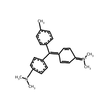 Cc1ccc(C(=C2C=CC(=[N+](C)C)C=C2)c2ccc(N(C)C)cc2)cc1